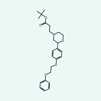 CC(C)(C)OC(=O)CCN1CCOC(c2ccc(OCCOc3ccccc3)cc2)C1